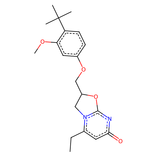 CCc1cc(=O)nc2n1CC(COc1ccc(C(C)(C)C)c(OC)c1)O2